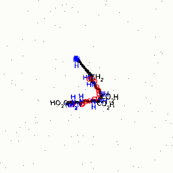 C=C(CCCCCCCCCCCCCCCc1nnn[nH]1)NS(=O)(=O)CCCC(=O)NCCOCCOCC(=O)N[C@@H](CCC(=O)N[C@@H](CCC(=O)NCCOCCOCC(=O)N[C@@H](CCCCNC(=O)CSC[C@H](N)C(=O)O)C(N)=O)C(=O)O)C(=O)O